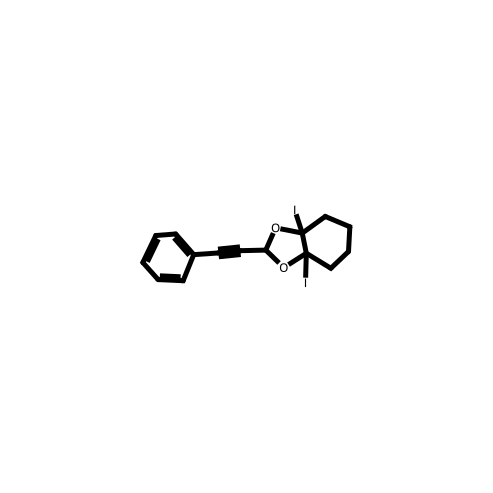 IC12CCCCC1(I)OC(C#Cc1ccccc1)O2